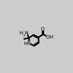 CC1(N)C=C(C(=O)O)C=CN1